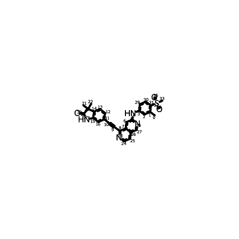 Cc1cc(Nc2cc3c(C#Cc4ccc5c(c4)NC(=O)C5(C)C)nccc3cn2)ccc1S(C)(=O)=O